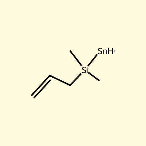 C=CC[Si](C)(C)[SnH]